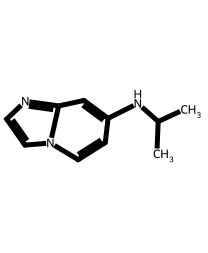 CC(C)Nc1ccn2ccnc2c1